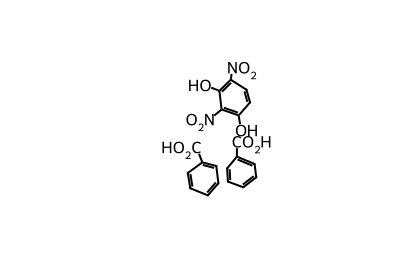 O=C(O)c1ccccc1.O=C(O)c1ccccc1.O=[N+]([O-])c1ccc(O)c([N+](=O)[O-])c1O